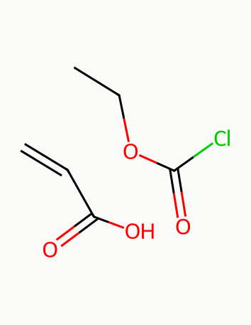 C=CC(=O)O.CCOC(=O)Cl